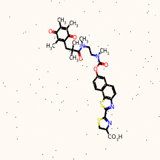 CC1=C(C)C(=O)C(CC(C)(C)C(=O)N(C)CCN(C)C(=O)Oc2ccc3c(ccc4nc(C5=NC(C(=O)O)CS5)sc43)c2)=C(C)C1=O